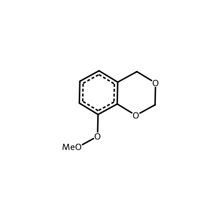 COOc1cccc2c1OCOC2